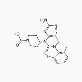 Cc1cccc(F)c1N1Cc2cnc(N)nc2N(C2CCN(C(=O)O)CC2)C1=O